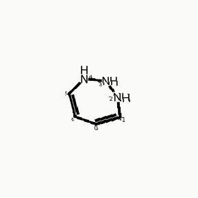 [c]1[c][nH][nH][nH]cc1